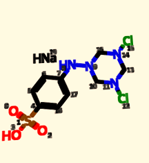 O=S(=O)(O)c1ccc(NN2CN(Cl)CN(Cl)C2)cc1.[NaH]